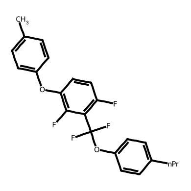 CCCc1ccc(OC(F)(F)c2c(F)c[c]c(Oc3ccc(C)cc3)c2F)cc1